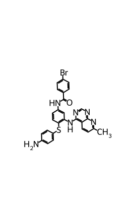 Cc1ccc2c(Nc3cc(NC(=O)c4ccc(Br)cc4)ccc3Sc3ccc(N)cc3)ncnc2n1